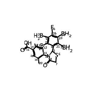 Bc1c(B)c(C2SCC(=O)N2c2ccc(C(=O)O)cc2C)c(B)c(B)c1F